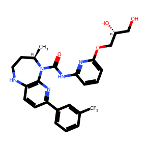 C[C@@H]1CCNc2ccc(-c3cccc(C(F)(F)F)c3)nc2N1C(=O)Nc1cccc(OC[C@H](O)CO)n1